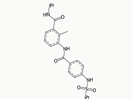 Cc1c(NC(=O)c2ccc(NS(=O)(=O)C(C)C)cc2)cccc1C(=O)NC(C)C